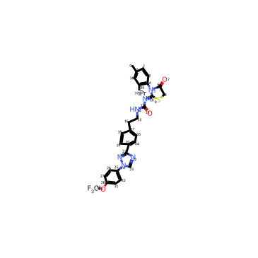 Cc1ccc(N2C(=O)CS/C2=N\C(=O)NCCc2ccc(-c3ncn(-c4ccc(OC(F)(F)F)cc4)n3)cc2)c(C(C)C)c1